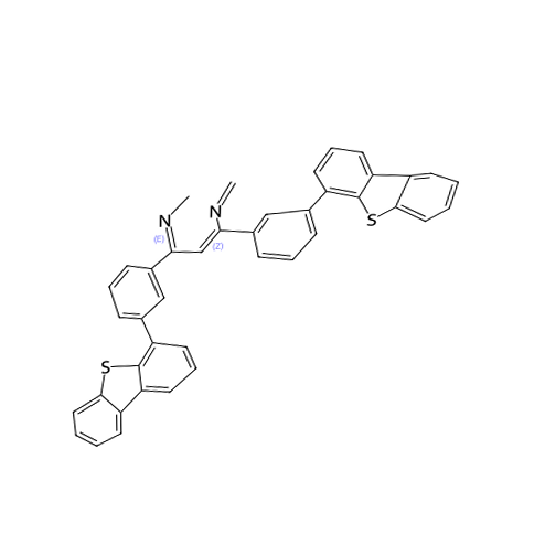 C=N/C(=C\C(=N/C)c1cccc(-c2cccc3c2sc2ccccc23)c1)c1cccc(-c2cccc3c2sc2ccccc23)c1